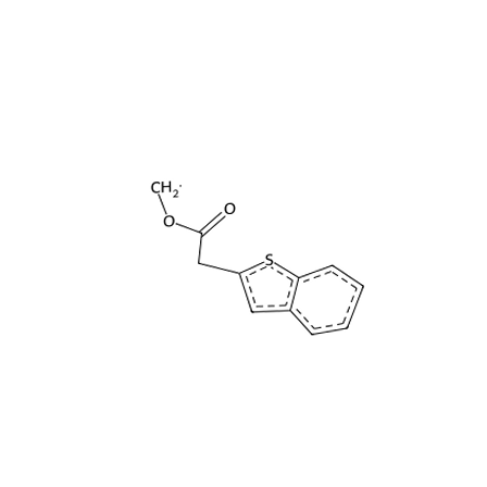 [CH2]OC(=O)Cc1cc2ccccc2s1